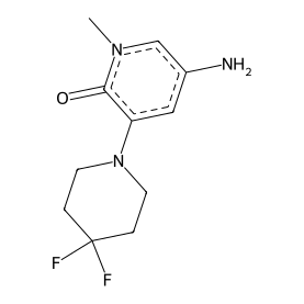 Cn1cc(N)cc(N2CCC(F)(F)CC2)c1=O